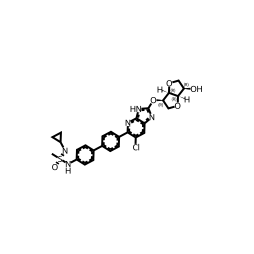 CS(=O)(=NC1CC1)Nc1ccc(-c2ccc(-c3nc4[nH]c(O[C@@H]5CO[C@H]6[C@@H]5OC[C@H]6O)nc4cc3Cl)cc2)cc1